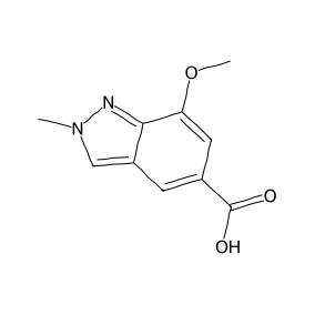 COc1cc(C(=O)O)cc2cn(C)nc12